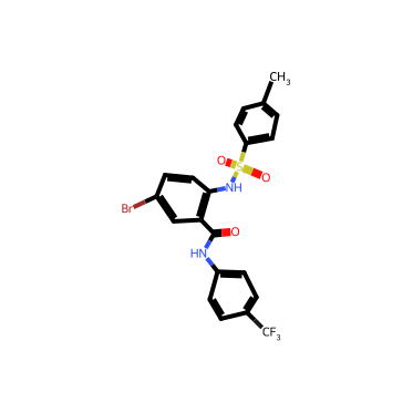 Cc1ccc(S(=O)(=O)Nc2ccc(Br)cc2C(=O)Nc2ccc(C(F)(F)F)cc2)cc1